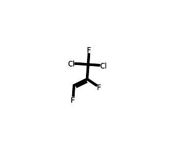 F/C=C(\F)C(F)(Cl)Cl